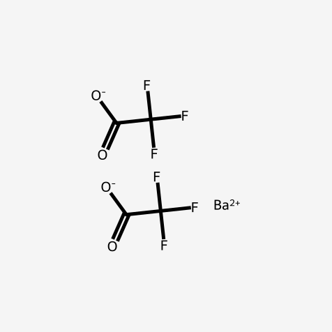 O=C([O-])C(F)(F)F.O=C([O-])C(F)(F)F.[Ba+2]